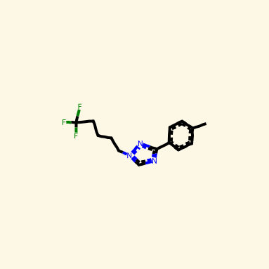 Cc1ccc(-c2ncn(CCCCC(F)(F)F)n2)cc1